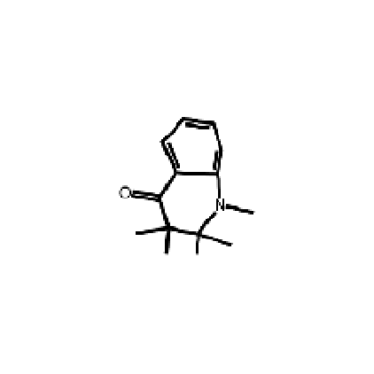 CN1c2ccccc2C(=O)C(C)(C)C1(C)C